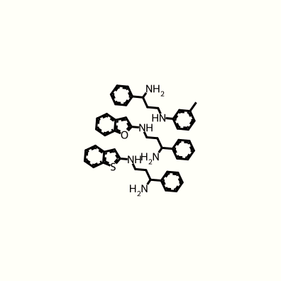 Cc1cccc(NCCC(N)c2ccccc2)c1.NC(CCNc1cc2ccccc2o1)c1ccccc1.NC(CCNc1cc2ccccc2s1)c1ccccc1